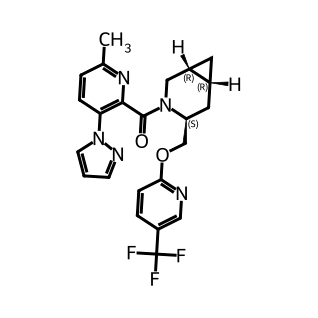 Cc1ccc(-n2cccn2)c(C(=O)N2C[C@@H]3C[C@@H]3C[C@H]2COc2ccc(C(F)(F)F)cn2)n1